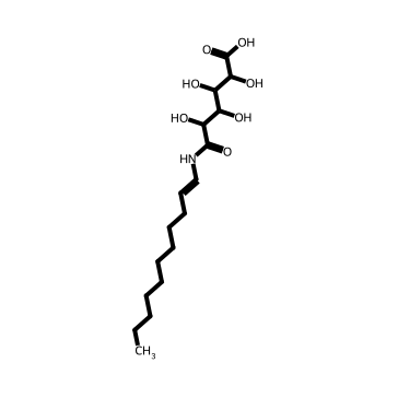 CCCCCCCCCC=CNC(=O)C(O)C(O)C(O)C(O)C(=O)O